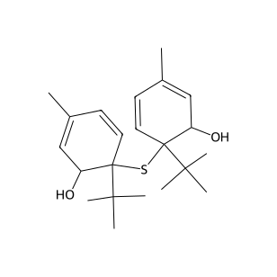 CC1=CC(O)C(SC2(C(C)(C)C)C=CC(C)=CC2O)(C(C)(C)C)C=C1